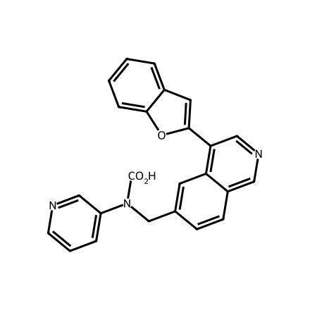 O=C(O)N(Cc1ccc2cncc(-c3cc4ccccc4o3)c2c1)c1cccnc1